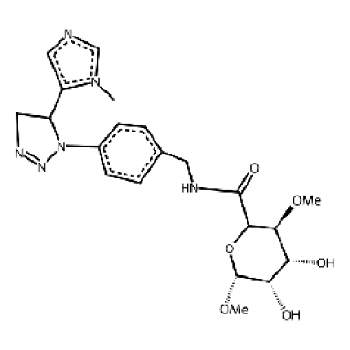 CO[C@@H]1OC(C(=O)NCc2ccc(N3N=NCC3c3cncn3C)cc2)[C@@H](OC)[C@H](O)[C@@H]1O